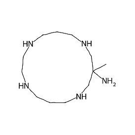 CC1(N)CNCCCNCCNCCCNC1